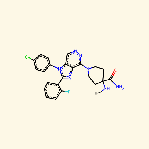 CC(C)NC1(C(N)=O)CCN(c2nncc3c2nc(-c2ccccc2F)n3-c2ccc(Cl)cc2)CC1